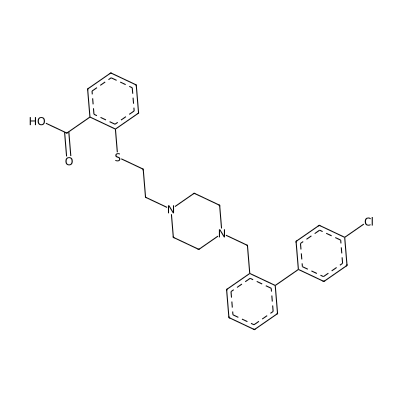 O=C(O)c1ccccc1SCCN1CCN(Cc2ccccc2-c2ccc(Cl)cc2)CC1